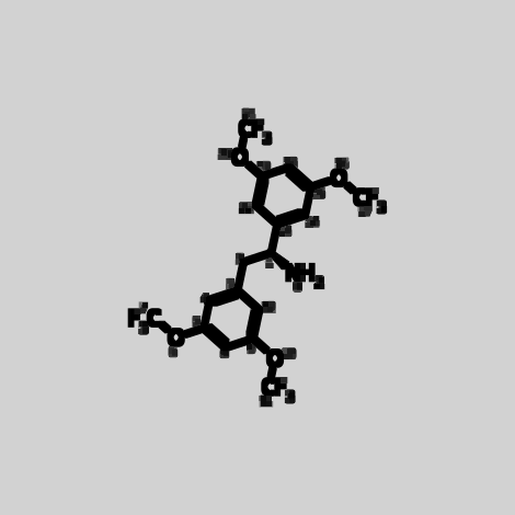 N[C@@H](Cc1cc(OC(F)(F)F)cc(OC(F)(F)F)c1)c1cc(OC(F)(F)F)cc(OC(F)(F)F)c1